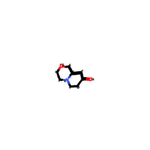 O=C1C=C2COCCN2CC1